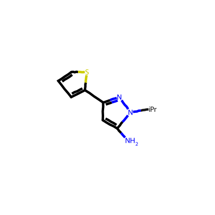 CC(C)n1nc(-c2cccs2)cc1N